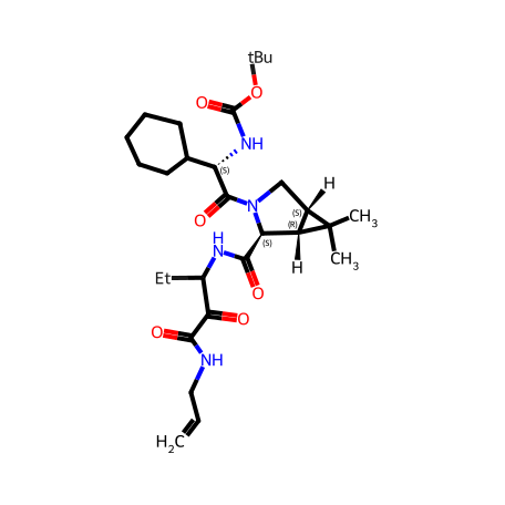 C=CCNC(=O)C(=O)C(CC)NC(=O)[C@@H]1[C@@H]2[C@H](CN1C(=O)[C@@H](NC(=O)OC(C)(C)C)C1CCCCC1)C2(C)C